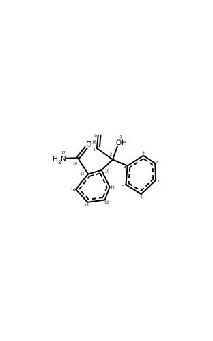 C=CC(O)(c1ccccc1)c1ccccc1C(N)=O